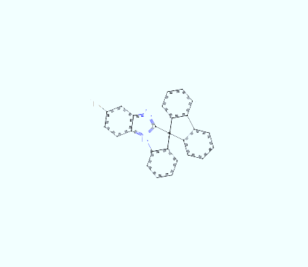 Brc1ccc2c(c1)nc1n2-c2ccccc2C12c1ccccc1-c1ccccc12